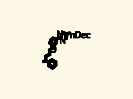 CCCCCCCCCCCc1cnc(-c2cccc(OCCCC(C)c3ccccc3)c2)nc1